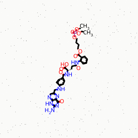 CCOP(=O)(OCC)OCCCCOC(=O)c1ccccc1NC(=O)CC[C@H](NC(=O)c1ccc(NCc2cnc3[nH]c(N)nc(=O)c3n2)cc1)C(=O)O